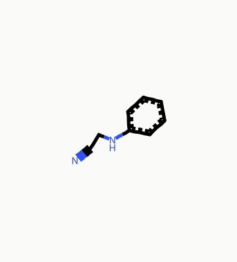 N#CCNc1ccccc1